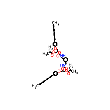 C=C(C)C(=O)OCC(COc1ccc(C#CC#CC#CC#CC)cc1)OC(=O)NCC1CCCC(CNC(=O)OC(COC(=O)C(=C)C)COc2ccc(C#CC#CC#CC#CC)cc2)C1